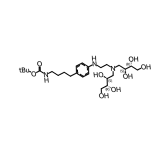 CC(C)(C)OC(=O)NCCCCc1ccc(NCCN(C[C@H](O)[C@H](O)CO)C[C@H](O)[C@H](O)CO)cc1